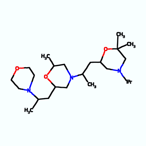 CC1CN(C(C)CC2CN(C(C)C)CC(C)(C)O2)CC(CC(C)N2CCOCC2)O1